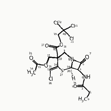 CCC(=O)NC1C(=O)N2CC(COC(C)=O)(C(=O)OCC(Cl)(Cl)Cl)C(=CCl)S[C@H]12